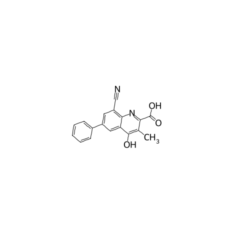 Cc1c(C(=O)O)nc2c(C#N)cc(-c3ccccc3)cc2c1O